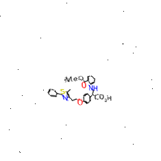 COC(=O)c1ccccc1NCC(C(=O)O)c1ccc(OCCc2nc(-c3ccccc3)sc2C)cc1